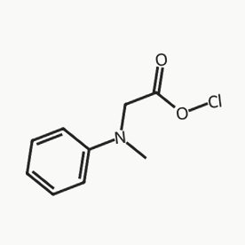 CN(CC(=O)OCl)c1ccccc1